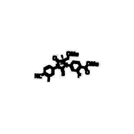 COC[C@]1(C)C(=O)N(c2ccc(C#N)c(C)c2)C(=S)N1c1ccc(C(=O)OC)c(F)c1